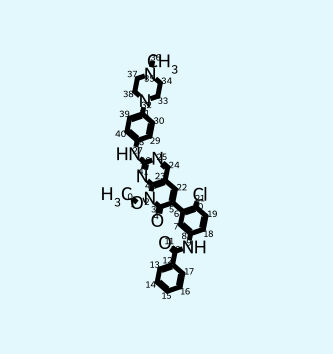 COn1c(=O)c(-c2cc(NC(=O)c3ccccc3)ccc2Cl)cc2cnc(Nc3ccc(N4CCN(C)CC4)cc3)nc21